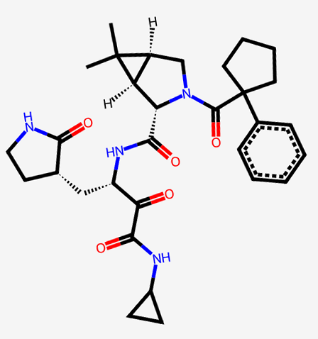 CC1(C)[C@@H]2[C@@H](C(=O)N[C@@H](C[C@@H]3CCNC3=O)C(=O)C(=O)NC3CC3)N(C(=O)C3(c4ccccc4)CCCC3)C[C@@H]21